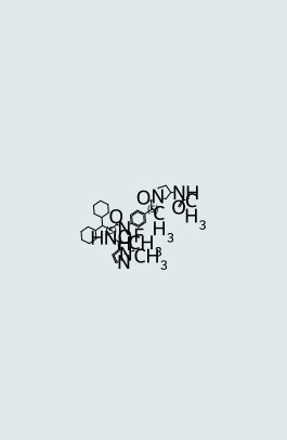 CC(=O)NC1CCN(C(=O)[C@@H](C)c2ccc(NC(=O)[C@@H](NC(=O)c3ccnn3C(C)C)C(C3CCCCC3)C3CCCCC3)c(F)c2)C1